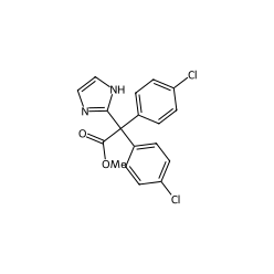 COC(=O)C(c1ccc(Cl)cc1)(c1ccc(Cl)cc1)c1ncc[nH]1